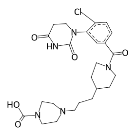 O=C1CCN(c2cc(C(=O)N3CCC(CCCN4CCN(C(=O)O)CC4)CC3)ccc2Cl)C(=O)N1